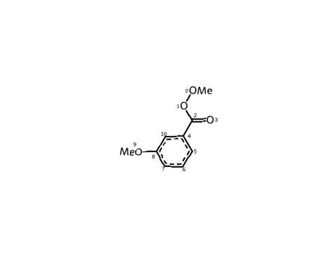 [CH2]OOC(=O)c1cccc(OC)c1